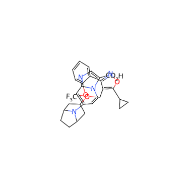 O=C(O)c1cnc2cc(N3C4CCC3CC(OCc3c(-c5ccccc5OC(F)(F)F)noc3C3CC3)C4)ccn12